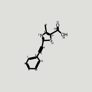 Cc1nc(C#Cc2ccccc2)sc1C(=O)O